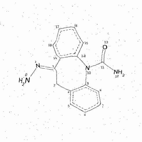 N/N=C1\Cc2ccccc2N(C(N)=O)c2ccccc21